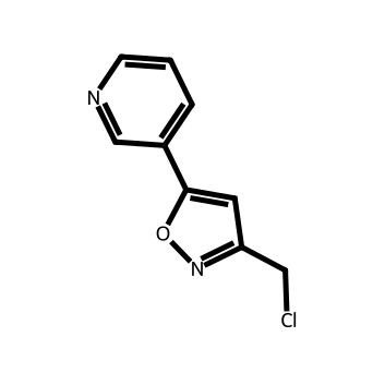 ClCc1cc(-c2cccnc2)on1